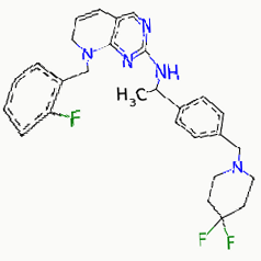 CC(Nc1ncc2c(n1)N(Cc1ccccc1F)CC=C2)c1ccc(CN2CCC(F)(F)CC2)cc1